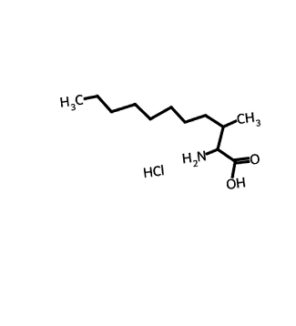 CCCCCCCCC(C)C(N)C(=O)O.Cl